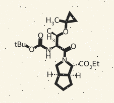 CCOC(=O)[C@@H]1[C@H]2CCC[C@H]2CN1C(=O)[C@@H](NC(=O)OC(C)(C)C)[C@@H](C)OC1(C)CC1